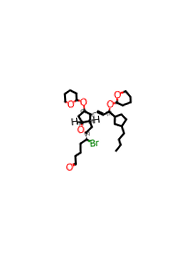 CCCCC1CCC([C@@H](C=C[C@@H]2[C@H]3C[C@H](C(Br)CCCC=O)O[C@@H]3C[C@H]2OC2CCCCO2)OC2CCCCO2)C1